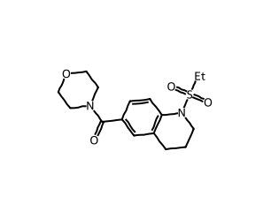 CCS(=O)(=O)N1CCCc2cc(C(=O)N3CCOCC3)ccc21